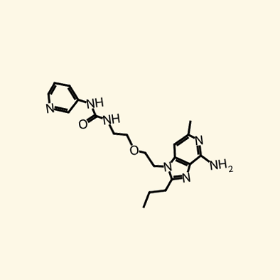 CCCc1nc2c(N)nc(C)cc2n1CCOCCNC(=O)Nc1cccnc1